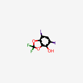 Oc1c(I)cc(I)c2c1OC(F)(F)O2